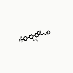 C=C1C=C(c2ccc(C(F)(F)F)cc2)C=CN1c1ccc2c(cnn2CCCN2CCCC2)c1